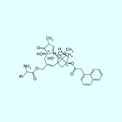 CC1C=C2[C@](O)(CC(COC(=O)C(N)C(C)C)=CC34C[C@@](OC(=O)Cc5cccc6ccccc56)(C[C@@H](C)[C@]23O)C4(C)C)C1=O